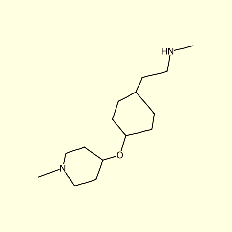 CNCCC1CCC(OC2CCN(C)CC2)CC1